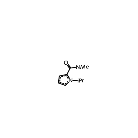 CNC(=O)c1c[c]cn1C(C)C